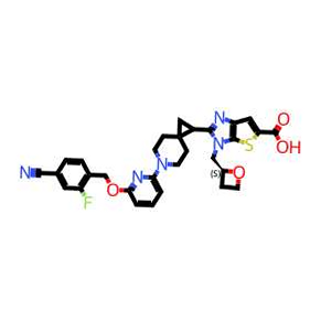 N#Cc1ccc(COc2cccc(N3CCC4(CC3)CC4c3nc4cc(C(=O)O)sc4n3C[C@@H]3CCO3)n2)c(F)c1